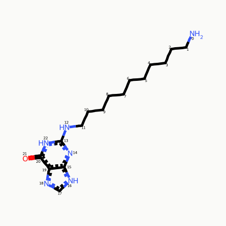 NCCCCCCCCCCCNc1nc2[nH]cnc2c(=O)[nH]1